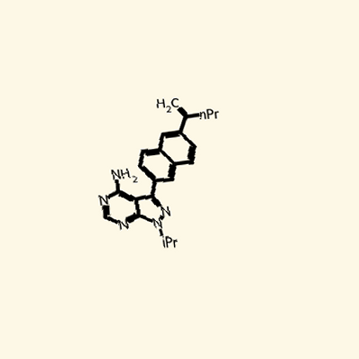 C=C(CCC)c1ccc2cc(-c3nn(C(C)C)c4ncnc(N)c34)ccc2c1